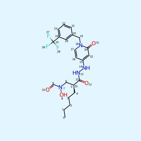 CCCCC[C@@H](CN(O)C=O)C(=O)NNc1ccn(Cc2cccc(C(F)(F)F)c2)c(=O)c1